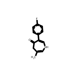 CC1=CNC=C(c2ccc(F)cc2)C(=O)C1